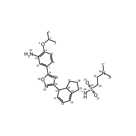 CC(C)Oc1ccc(-c2nc(C3C=CC=C4C3CC[C@@H]4NS(=O)(=O)CCN(C)C)no2)cc1N